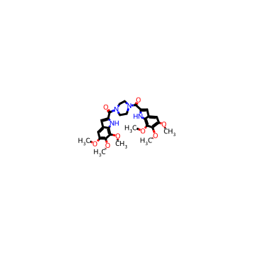 COc1cc2cc(C(=O)N3CCN(C(=O)c4cc5cc(OC)c(OC)c(OC)c5[nH]4)CC3)[nH]c2c(OC)c1OC